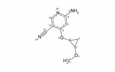 COC1CC1Oc1cc(N)ncc1C#N